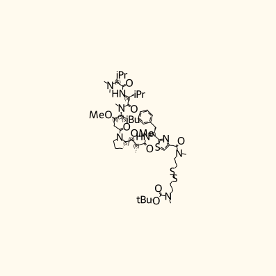 CC[C@H](C)[C@@H]([C@@H](CC(=O)N1CCC[C@H]1[C@H](OC)[C@@H](C)C(=O)N[C@@H](Cc1ccccc1)c1nc(C(=O)N(C)CCSSCCN(C)C(=O)OC(C)(C)C)cs1)OC)N(C)C(=O)[C@@H](NC(=O)[C@H](C(C)C)N(C)C)C(C)C